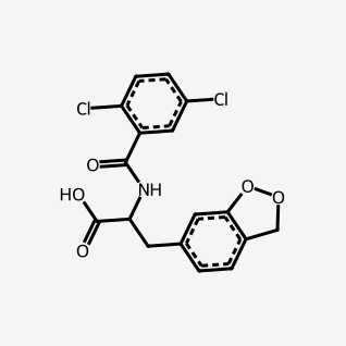 O=C(NC(Cc1ccc2c(c1)OOC2)C(=O)O)c1cc(Cl)ccc1Cl